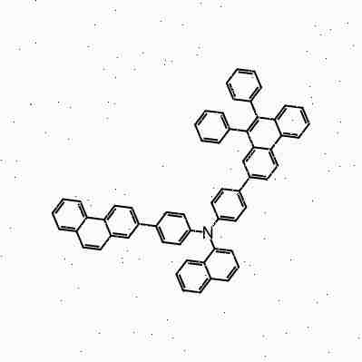 c1ccc(-c2c(-c3ccccc3)c3cc(-c4ccc(N(c5ccc(-c6ccc7c(ccc8ccccc87)c6)cc5)c5cccc6ccccc56)cc4)ccc3c3ccccc23)cc1